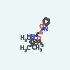 CC(C)(C)CC(C)(C)NC(=O)CSc1nc2ccccc2o1